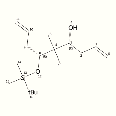 C=CC[C@@H](O)C(C)(C)[C@@H](CC=C)O[Si](C)(C)C(C)(C)C